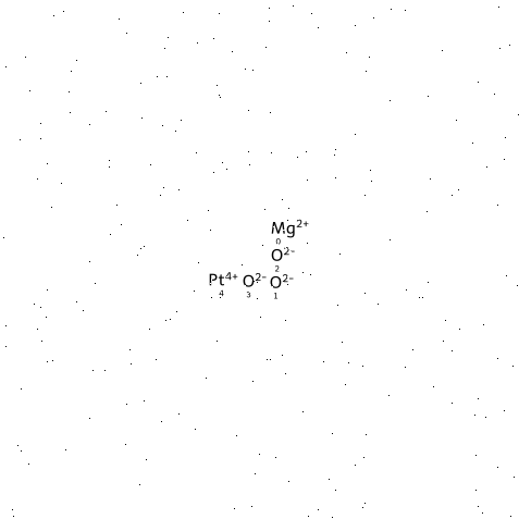 [Mg+2].[O-2].[O-2].[O-2].[Pt+4]